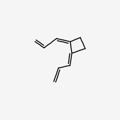 C=C/C=C1/CC/C1=C/C=C